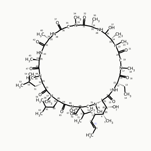 C/C=C/C[C@@H](C)[C@@H](O)[C@H]1C(=O)N[C@@H](CC)C(=O)N(C)CC(=O)N(C)[C@@H](C)C(O)N[C@@H](C)C(=O)N(C)CC(=O)N[C@@H](C)C(=O)N[C@H](C)C(=O)N(C)[C@@H](CC(C)C)C(=O)N(C)[C@H](CC(C)C)C(=O)N(C)[C@](C=O)(C(C)C)CN1C